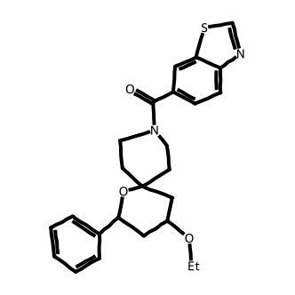 CCOC1CC(c2ccccc2)OC2(CCN(C(=O)c3ccc4ncsc4c3)CC2)C1